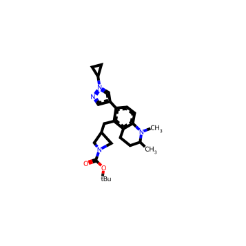 CC1CCc2c(ccc(-c3cnn(C4CC4)c3)c2CC2CN(C(=O)OC(C)(C)C)C2)N1C